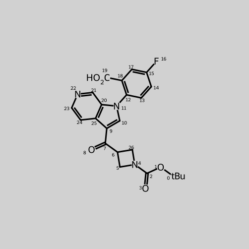 CC(C)(C)OC(=O)N1CC(C(=O)c2cn(-c3ccc(F)cc3C(=O)O)c3cnccc23)C1